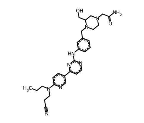 CCCN(CCC#N)c1ccc(-c2ccnc(Nc3cccc(CN4CCN(CC(N)=O)CC4CO)c3)n2)cn1